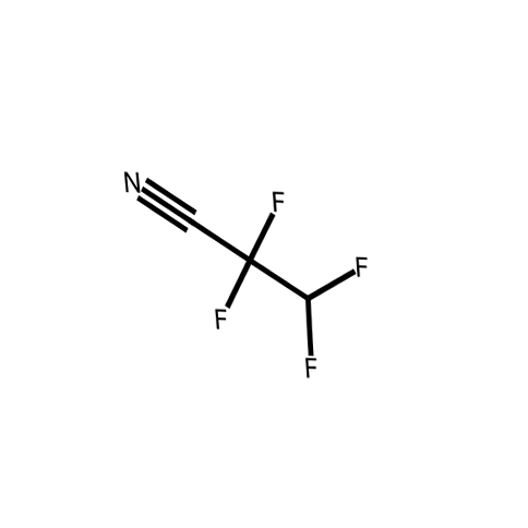 N#CC(F)(F)C(F)F